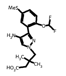 CSc1ccc(OC(F)F)c(-c2nn(CC(C)(C)CC(=O)O)cc2N)c1